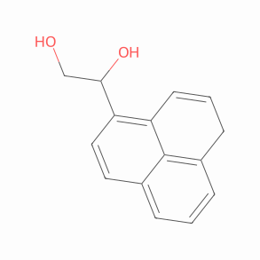 OCC(O)c1ccc2cccc3c2c1C=CC3